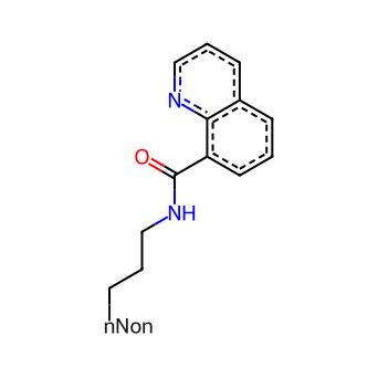 CCCCCCCCCCCCNC(=O)c1cccc2cccnc12